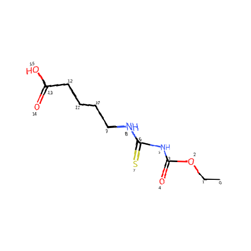 CCOC(=O)NC(=S)NCCCCC(=O)O